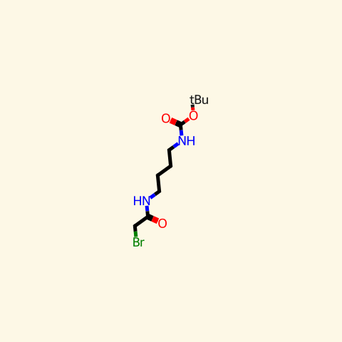 CC(C)(C)OC(=O)NCCCCNC(=O)CBr